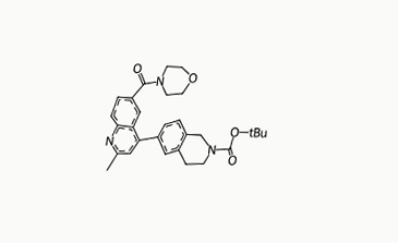 Cc1cc(-c2ccc3c(c2)CCN(C(=O)OC(C)(C)C)C3)c2cc(C(=O)N3CCOCC3)ccc2n1